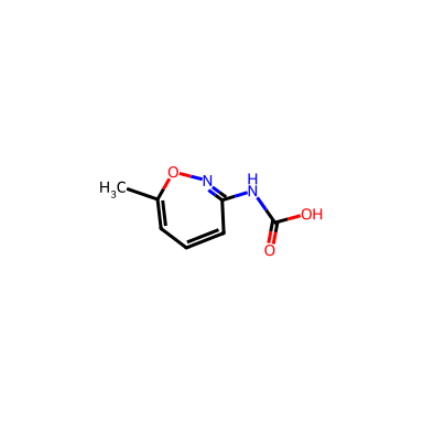 CC1=CC=CC(NC(=O)O)=NO1